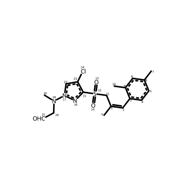 CC(=Cc1ccc(C)cc1C)CS(=O)(=O)c1nn(N(C)CC=O)cc1Cl